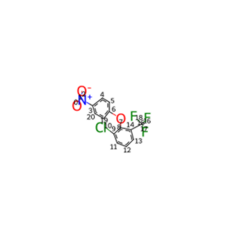 O=[N+]([O-])c1ccc(Oc2c(Cl)cccc2C(F)(F)F)cc1